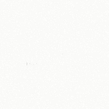 CCOC(=O)C(=CC1CCCCC1)C(=O)c1ccccc1